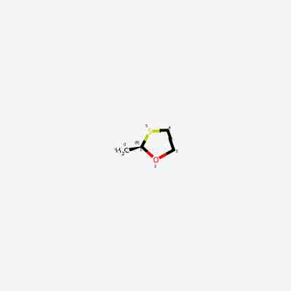 [CH2][C@@H]1OCCS1